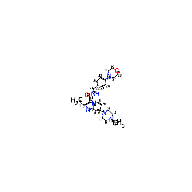 CCc1nc2cc(N3CCN(C)CC3)ccn2c1C(=O)NCc1ccc(N2CCOCC2)cc1